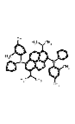 Cc1ccc(N(c2ccccc2)c2cc(C(C)C)c3ccc4c(N(c5ccccc5)c5ccc(C)cc5C)cc(C(C)C)c5ccc2c3c54)c(C)c1